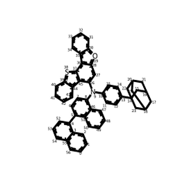 c1ccc2c(-c3ccc(N(c4ccc(C56CC7CC(CC(C7)C5)C6)cc4)c4cc5oc6ccccc6c5c5sc6ccccc6c45)c4ccccc34)cccc2c1